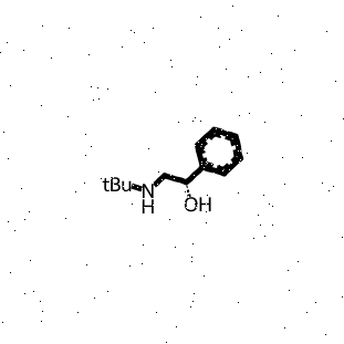 CC(C)(C)NC[C@@H](O)c1ccccc1